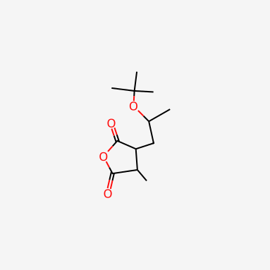 CC(CC1C(=O)OC(=O)C1C)OC(C)(C)C